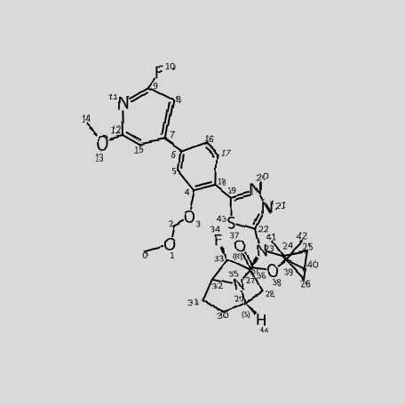 COCOc1cc(-c2cc(F)nc(OC)c2)ccc1-c1nnc(N(C2CC2)[C@H]2C[C@@H]3CCC([C@H]2F)N3C(=O)OC(C)(C)C)s1